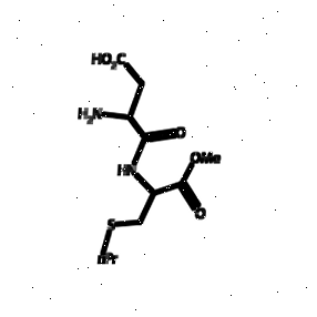 CCCSCC(NC(=O)C(N)CC(=O)O)C(=O)OC